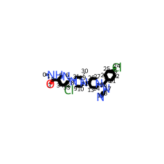 CNC(=O)c1cnc(N2CCN(C3CCN(/C(=N\C#N)c4ccc(Cl)cc4)CC3)[C@@H](C)C2)c(Cl)c1